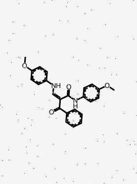 COc1ccc(NC=C(C(=O)Nc2ccc(OC)cc2)C(=O)c2ccccc2)cc1